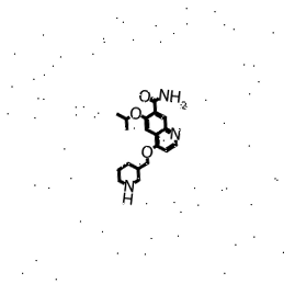 CC(C)Oc1cc2c(OCC3CCCNC3)ccnc2cc1C(N)=O